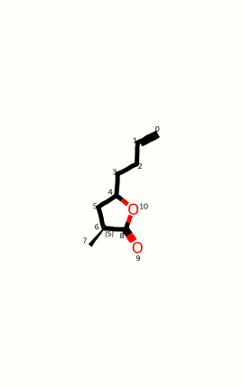 C=CCCC1C[C@H](C)C(=O)O1